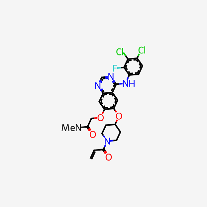 C=CC(=O)N1CCC(Oc2cc3c(Nc4ccc(Cl)c(Cl)c4F)ncnc3cc2OCC(=O)NC)CC1